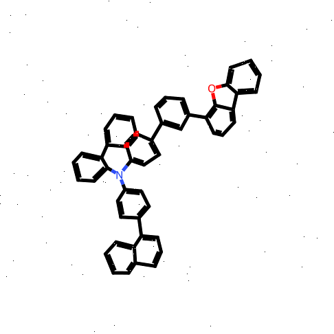 c1ccc(-c2ccccc2N(c2ccc(-c3cccc(-c4cccc5c4oc4ccccc45)c3)cc2)c2ccc(-c3cccc4ccccc34)cc2)cc1